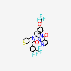 CC(c1nc2ncccc2c(=O)n1-c1ccc(OCC(F)(F)F)cc1)N(CC1CCSCC1)C(=O)Cc1ccc(F)c(C(F)(F)F)c1